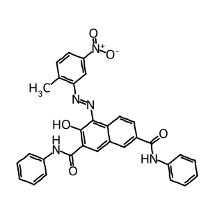 Cc1ccc([N+](=O)[O-])cc1N=Nc1c(O)c(C(=O)Nc2ccccc2)cc2cc(C(=O)Nc3ccccc3)ccc12